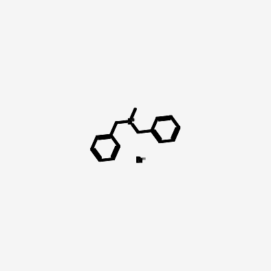 C[S+](Cc1ccccc1)Cc1ccccc1.[Br-]